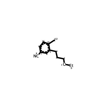 CCOCCCc1cc(C#N)ccc1I